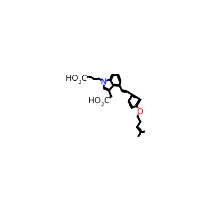 CC(C)=CCCOc1ccc(C=Cc2cccc3c2c(CC(=O)O)cn3CCCC(=O)O)cc1